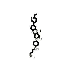 NCCCN[C@H]1CC[C@@H](n2cc3c(nc2=O)Nc2cc(-c4ccc(CF)nc4)ccc2O3)CC1